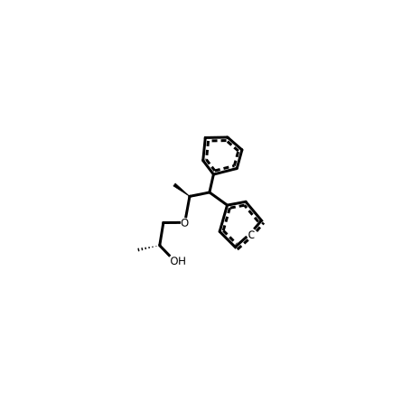 C[C@H](OC[C@@H](C)O)C(c1ccccc1)c1ccccc1